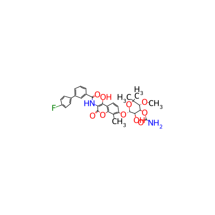 CO[C@@H]1[C@@H](OC(N)=O)[C@@H](O)[C@H](Oc2ccc3c(O)c(NC(=O)c4cccc(-c5ccc(F)cc5)c4)c(=O)oc3c2C)OC1(C)C